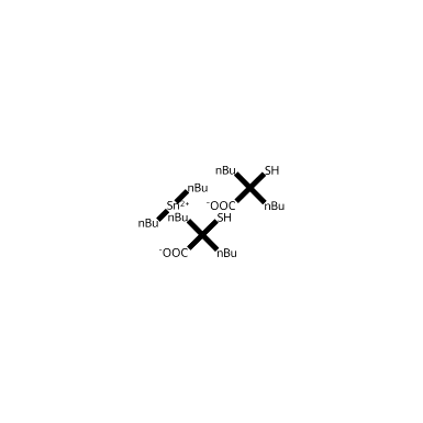 CCCCC(S)(CCCC)C(=O)[O-].CCCCC(S)(CCCC)C(=O)[O-].CCC[CH2][Sn+2][CH2]CCC